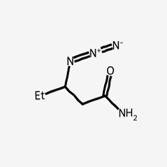 CCC(CC(N)=O)N=[N+]=[N-]